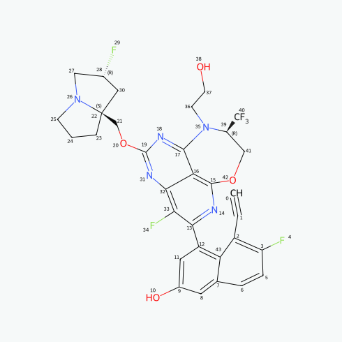 C#Cc1c(F)ccc2cc(O)cc(-c3nc4c5c(nc(OC[C@@]67CCCN6C[C@H](F)C7)nc5c3F)N(CCO)[C@@H](C(F)(F)F)CO4)c12